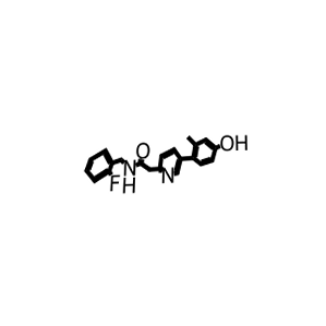 Cc1cc(O)ccc1-c1ccc(CC(=O)NCc2ccccc2F)nc1